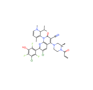 C=CC(=O)N1CCN(c2c(C#N)c(=O)n(C3=C(C)C=CN(C)C3C(C)C)c3nc(-c4c(F)c(O)c(F)c(Cl)c4F)c(Cl)cc23)C[C@H]1C